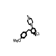 COc1ccc(Cc2cc(C)ccc2N2CCN(C)CC2)cc1.Cl